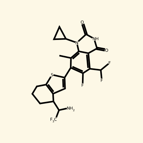 Cc1c(-c2cc3c(s2)CCCC3C(N)C(F)(F)F)c(F)c(C(F)F)c2c(=O)[nH]c(=O)n(C3CC3)c12